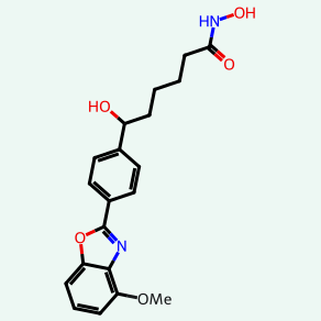 COc1cccc2oc(-c3ccc(C(O)CCCCC(=O)NO)cc3)nc12